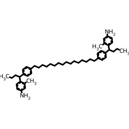 CCCC(c1ccc(CCCCCCCCCCCCCCCCc2ccc(C(CCC)c3ccc(N)cc3C)cc2)cc1)c1ccc(N)cc1C